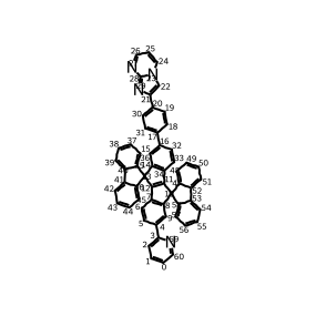 c1ccc(-c2ccc3c(c2)C2(C4=C3C3(c5cc(-c6ccc(-c7cn8cccnc8n7)cc6)ccc54)c4ccccc4-c4ccccc43)c3ccccc3-c3ccccc32)nc1